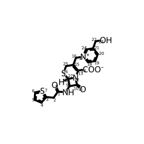 O=C(Cc1cccs1)NC1C(=O)N2C(C(=O)[O-])=C(C[n+]3cccc(CO)c3)CS[C@@H]12